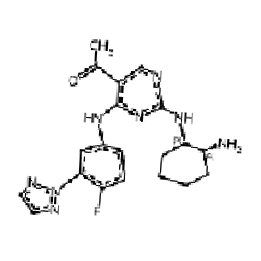 CC(=O)c1cnc(N[C@@H]2CCCC[C@@H]2N)nc1Nc1ccc(F)c(-n2nccn2)c1